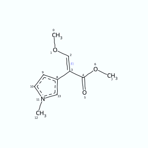 CO/C=C(/C(=O)OC)c1ccn(C)c1